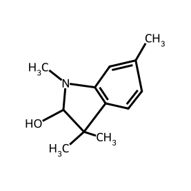 Cc1ccc2c(c1)N(C)C(O)C2(C)C